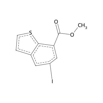 COC(=O)c1cc(I)cc2ccsc12